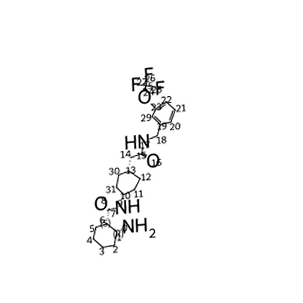 N[C@@H]1CCCC[C@@H]1C(=O)N[C@H]1CC[C@@H](CC(=O)NCc2cccc(OC(F)(F)F)c2)CC1